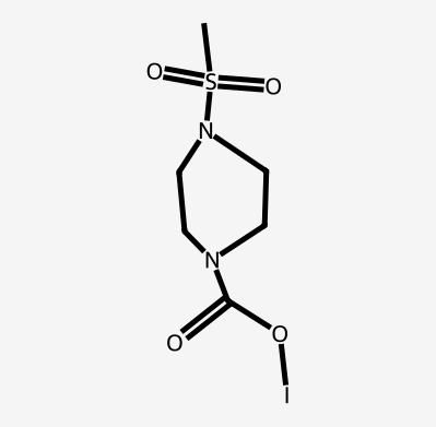 CS(=O)(=O)N1CCN(C(=O)OI)CC1